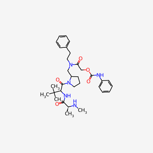 CN[C@@H](C)C(=O)NC(C(=O)N1CCCC1CN(CCc1ccccc1)C(=O)COC(=O)Nc1ccccc1)C(C)(C)C